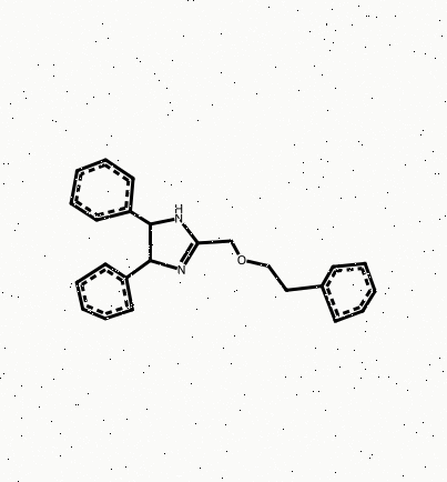 c1ccc(CCOCC2=NC(c3ccccc3)C(c3ccccc3)N2)cc1